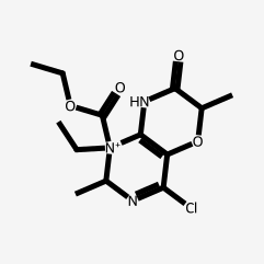 CCOC(=O)[N+]1(CC)C2=C(OC(C)C(=O)N2)C(Cl)=NC1C